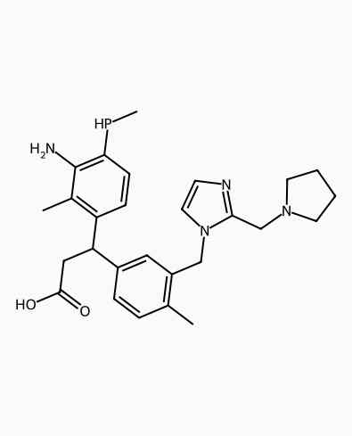 CPc1ccc(C(CC(=O)O)c2ccc(C)c(Cn3ccnc3CN3CCCC3)c2)c(C)c1N